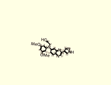 C#CCN(c1cc(OC)cc(OC)c1)c1ccc2ncc(-c3cn[nH]c3)nc2c1